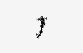 COCCNCc1ccc(C#Cc2ccc(C3CN(Cc4nc[nH]c(=O)c4O)C(=O)N3C(C)C)cc2)cc1